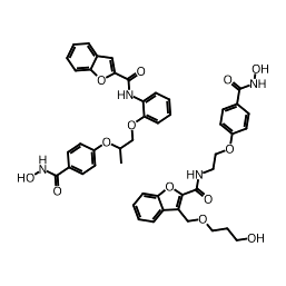 CC(COc1ccccc1NC(=O)c1cc2ccccc2o1)Oc1ccc(C(=O)NO)cc1.O=C(NO)c1ccc(OCCNC(=O)c2oc3ccccc3c2COCCCO)cc1